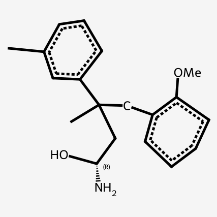 COc1ccccc1CC(C)(C[C@H](N)O)c1cccc(C)c1